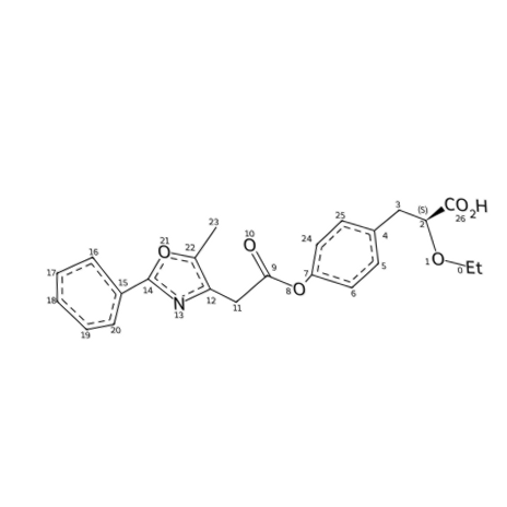 CCO[C@@H](Cc1ccc(OC(=O)Cc2nc(-c3ccccc3)oc2C)cc1)C(=O)O